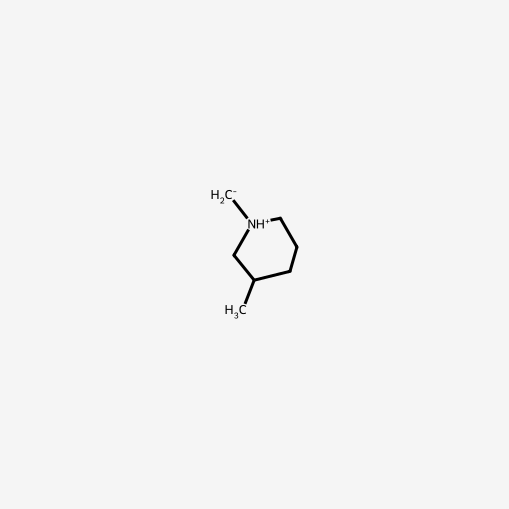 [CH2-][NH+]1CCCC(C)C1